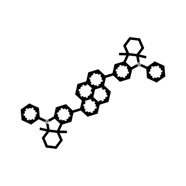 CC12CCCCC1(C)c1cc(-c3ccc4ccc5c(-c6ccc7c(c6)C6(C)CCCCC6(C)B7c6ccccc6)ccc6ccc3c4c65)ccc1B2c1ccccc1